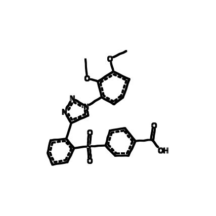 COc1cccc(-n2cc(-c3ccccc3S(=O)(=O)c3ccc(C(=O)O)cc3)nn2)c1OC